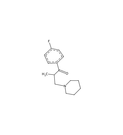 CC(CN1CCCCC1)C(=O)c1ccc(F)cc1